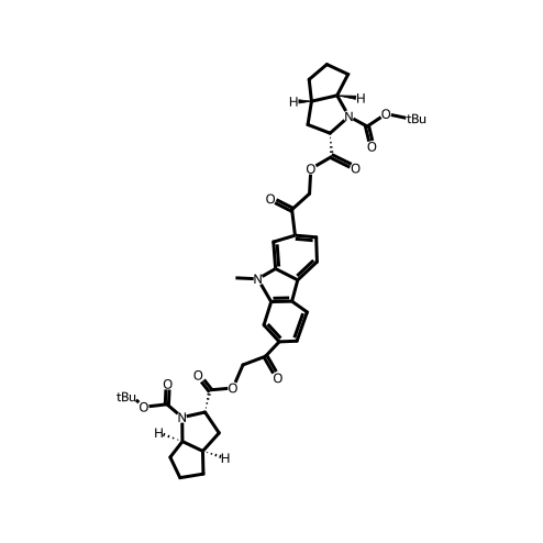 Cn1c2cc(C(=O)COC(=O)[C@@H]3C[C@H]4CCC[C@H]4N3C(=O)OC(C)(C)C)ccc2c2ccc(C(=O)COC(=O)[C@@H]3C[C@@H]4CCC[C@@H]4N3C(=O)OC(C)(C)C)cc21